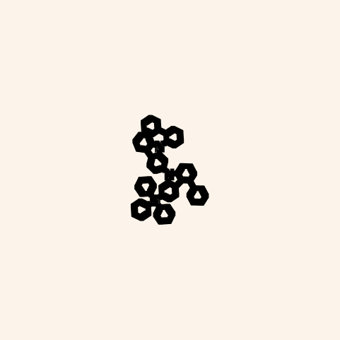 c1ccc(-c2ccccc2-n2c3ccccc3c3ccc(-n4c5cc([Si](c6ccccc6)(c6ccccc6)c6ccccc6)ccc5c5c(-c6ccccc6)cccc54)cc32)cc1